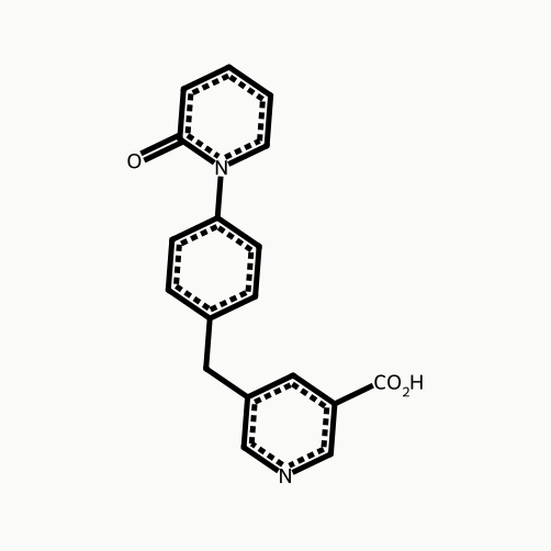 O=C(O)c1cncc(Cc2ccc(-n3ccccc3=O)cc2)c1